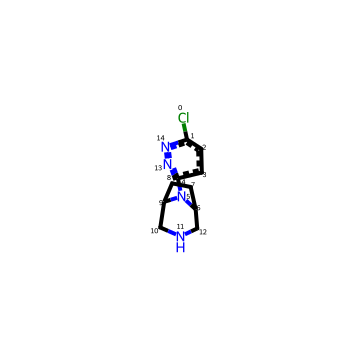 Clc1ccc(N2C3CCC2CNC3)nn1